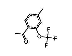 CC(=O)c1ccc(C)cc1OC(F)(F)F